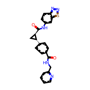 O=C(NCc1ccccn1)c1ccc([C@@H]2C[C@H]2C(=O)Nc2ccc3nnsc3c2)cc1